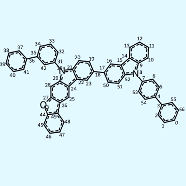 c1ccc(-c2ccc(-n3c4ccccc4c4cc(-c5ccc6c(c5)c5cc7c(cc5n6-c5cccc(-c6ccccc6)c5)oc5ccccc57)ccc43)cc2)cc1